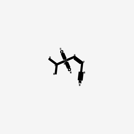 CC(C)S(=O)(=O)/C=C\C#N